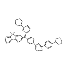 CC1(C)c2ccccc2-c2ccc(N(c3ccc(-c4cccc(-c5ccc(C6CCCCC6)cc5)c4)cc3)c3cccc(C4CCCCC4)c3)cc21